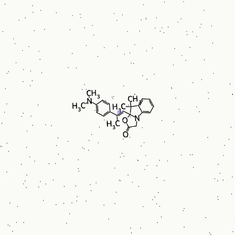 C/C(=C\C12OC(=O)CN1c1ccccc1C2(C)C)c1ccc(N(C)C)cc1